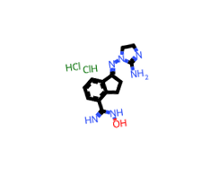 Cl.Cl.N=C(NO)c1cccc2c1CCC2=NN1CCN=C1N